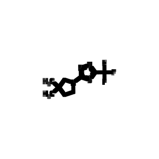 CC1(C)CCN(c2nnc(C(F)(F)F)s2)C1